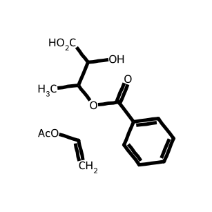 C=COC(C)=O.CC(OC(=O)c1ccccc1)C(O)C(=O)O